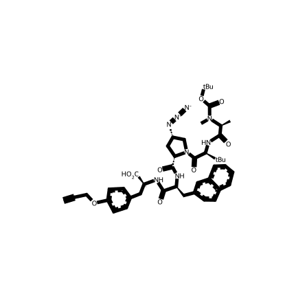 C#CCOc1ccc(C[C@H](NC(=O)[C@H](Cc2ccc3ccccc3c2)NC(=O)[C@@H]2C[C@H](N=[N+]=[N-])CN2C(=O)[C@@H](NC(=O)[C@H](C)N(C)C(=O)OC(C)(C)C)C(C)(C)C)C(=O)O)cc1